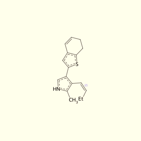 CC/C=C\c1c(-c2cc3c(s2)CCC=C3)c[nH]c1C